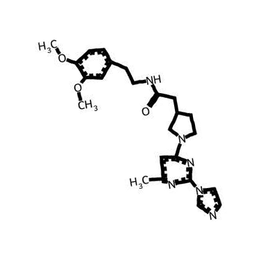 COc1ccc(CCNC(=O)CC2CCN(c3cc(C)nc(-n4ccnc4)n3)C2)cc1OC